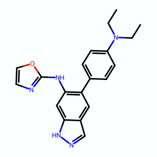 CCN(CC)c1ccc(-c2cc3cn[nH]c3cc2Nc2ncco2)cc1